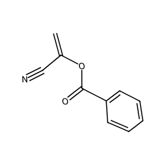 C=C(C#N)OC(=O)c1ccccc1